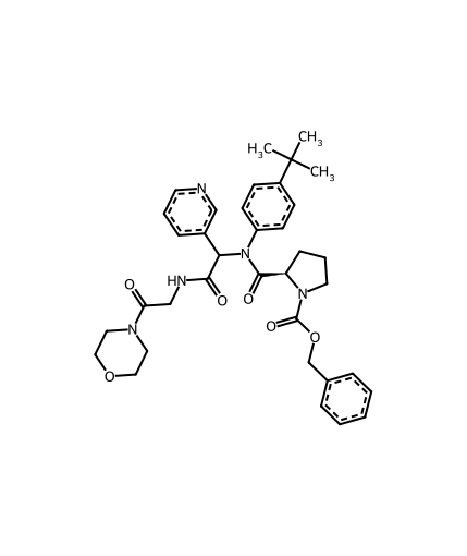 CC(C)(C)c1ccc(N(C(=O)[C@H]2CCCN2C(=O)OCc2ccccc2)C(C(=O)NCC(=O)N2CCOCC2)c2cccnc2)cc1